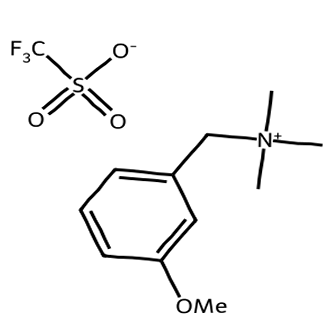 COc1cccc(C[N+](C)(C)C)c1.O=S(=O)([O-])C(F)(F)F